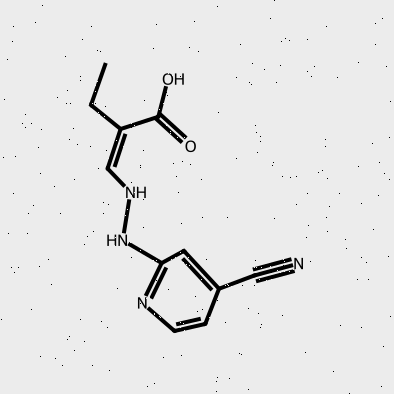 CCC(=CNNc1cc(C#N)ccn1)C(=O)O